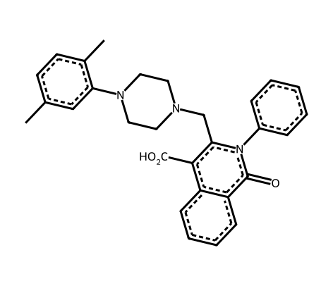 Cc1ccc(C)c(N2CCN(Cc3c(C(=O)O)c4ccccc4c(=O)n3-c3ccccc3)CC2)c1